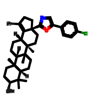 CC(=O)O[C@H]1CC[C@]2(C)[C@H]3CC[C@@H]4C5=C(C(C)C)CC[C@]5(c5ncc(-c6ccc(Cl)cc6)o5)CC[C@@]4(C)[C@]3(C)CC[C@H]2C1(C)C